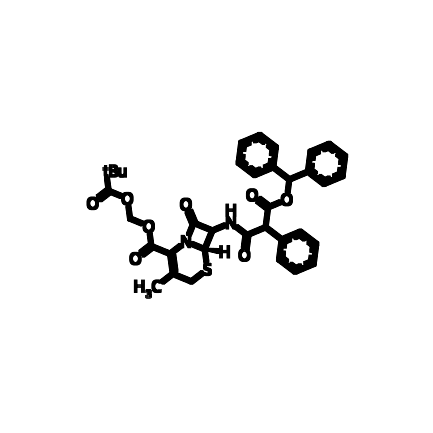 CC1=C(C(=O)OCOC(=O)C(C)(C)C)N2C(=O)C(NC(=O)C(C(=O)OC(c3ccccc3)c3ccccc3)c3ccccc3)[C@@H]2SC1